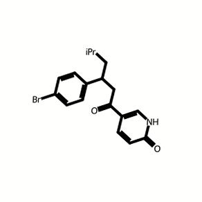 CC(C)CC(CC(=O)c1ccc(=O)[nH]c1)c1ccc(Br)cc1